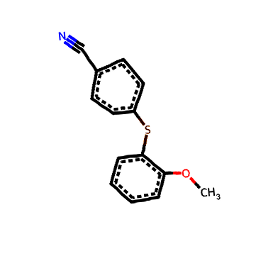 COc1ccccc1Sc1ccc(C#N)cc1